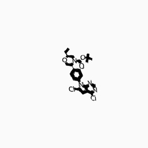 CC[C@H]1CN(C(=O)OC(C)(C)C)[C@H](c2ccc(-n3c(Cl)cc4c(Cl)ncnc43)cc2)CO1